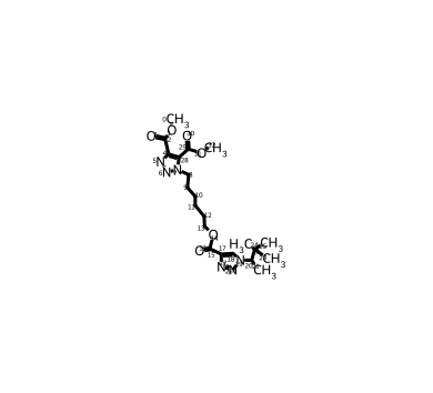 COC(=O)c1nnn(CCCCCCOC(=O)c2cn(C(C)C(C)(C)C)nn2)c1C(=O)OC